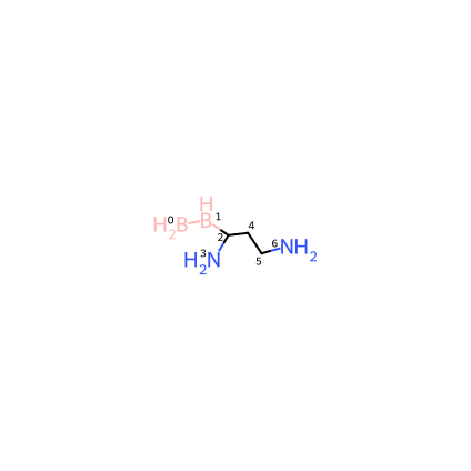 BBC(N)CCN